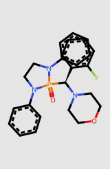 O=P1([C@@H](c2ccccc2F)N2CCOCC2)N(c2ccccc2)CCN1c1ccccc1